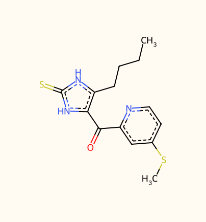 CCCCc1[nH]c(=S)[nH]c1C(=O)c1cc(SC)ccn1